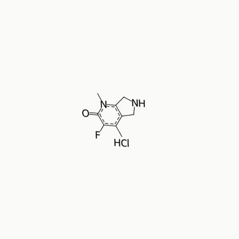 Cc1c2c(n(C)c(=O)c1F)CNC2.Cl